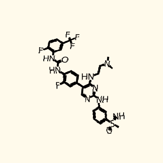 CN(C)CCNc1nc(Nc2cccc(S(C)(=N)=O)c2)ncc1-c1ccc(NC(=O)Nc2cc(C(F)(F)F)ccc2F)c(F)c1